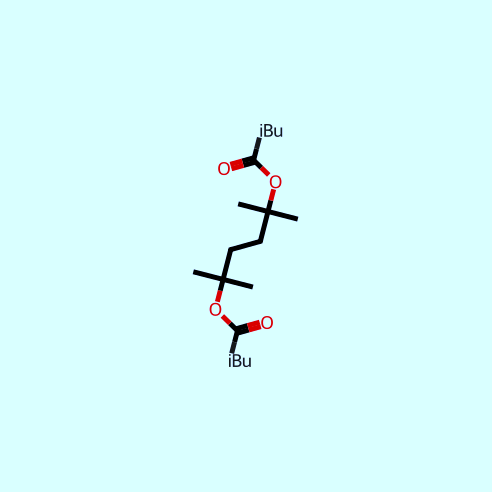 CCC(C)C(=O)OC(C)(C)CCC(C)(C)OC(=O)C(C)CC